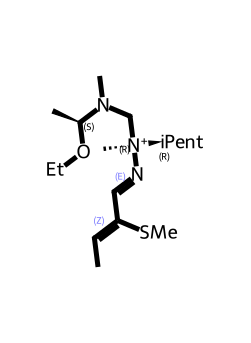 C/C=C(/C=N/[N@@+](C)(CN(C)[C@H](C)OCC)[C@H](C)CCC)SC